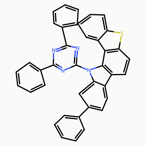 c1ccc(-c2ccc3c4ccc5sc6ccccc6c5c4n(-c4nc(-c5ccccc5)nc(-c5ccccc5)n4)c3c2)cc1